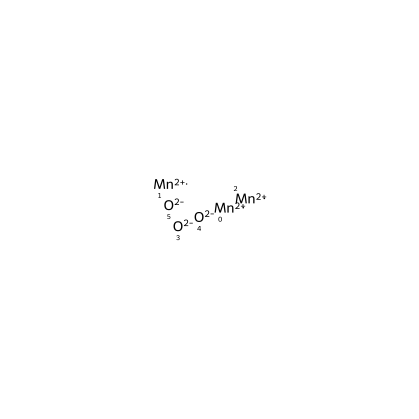 [Mn+2].[Mn+2].[Mn+2].[O-2].[O-2].[O-2]